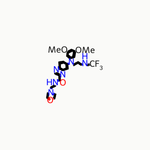 COc1cc(OC)cc(N(CCCNCC(F)(F)F)c2ccc3ncc(C(=O)NCCN4CCOCC4)nc3c2)c1